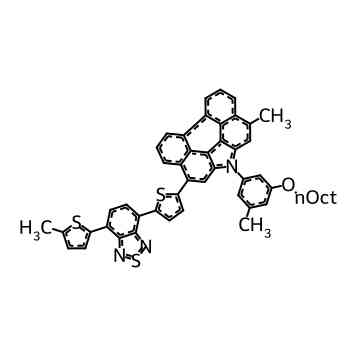 CCCCCCCCOc1cc(C)cc(-n2c3cc(C)c4cccc5c6cccc7c(-c8ccc(-c9ccc(-c%10ccc(C)s%10)c%10nsnc9%10)s8)cc2c(c76)c3c45)c1